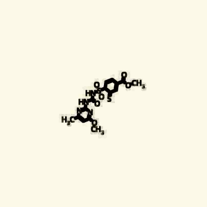 COC(=O)C1=CC(=S)C(S(=O)(=O)NC(=O)Nc2nc(C)cc(OC)n2)C=C1